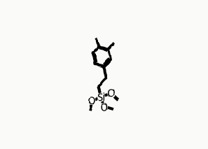 CO[Si](CCc1ccc(C)c(C)c1)(OC)OC